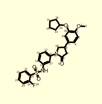 COc1ccc(C2CC(=O)N(c3cccc(NS(=O)(=O)c4ccccc4F)c3)C2)cc1OC1CCCC1